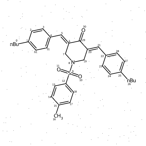 CCCCc1ccc(C=C2CN(S(=O)(=O)c3ccc(C)cc3)CC(=Cc3ccc(CCCC)cc3)C2=O)cc1